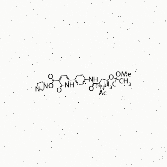 COC(C)(C)OC1C[C@H](C(=O)Nc2ccc(-c3ccc(C(=O)ON4C=NCC4)c(=O)[nH]3)cc2)N(C(C)=O)C1